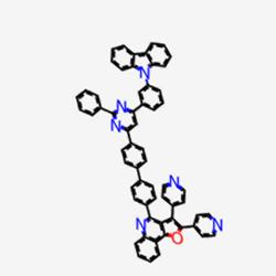 c1ccc(-c2nc(-c3ccc(-c4ccc(-c5nc6ccccc6c6oc(-c7ccncc7)c(-c7ccncc7)c56)cc4)cc3)cc(-c3cccc(-n4c5ccccc5c5ccccc54)c3)n2)cc1